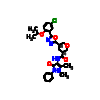 Cc1c(NC(=O)[C@@H]2COC[C@H](c3nnc(-c4cc(Cl)ccc4OC(C)C)o3)C2)c(=O)n(-c2ccccc2)n1C